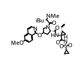 C=C[C@@H]1C[C@]1(NC(=O)[C@@H]1CC(Oc2nccc3cc(OC)ccc23)CN1C(=O)C(NC)[C@@H](C)CC)C(=O)NS(=O)(=O)C1CC1